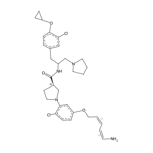 N/C=C\C=C/COc1ccc(Cl)c(N2CC[C@@H](C(=O)NC(Cc3ccc(OC4CC4)c(Cl)c3)CN3CCCC3)C2)c1